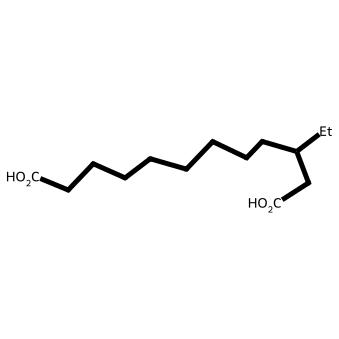 CCC(CCCCCCCCC(=O)O)CC(=O)O